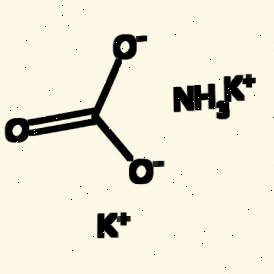 N.O=C([O-])[O-].[K+].[K+]